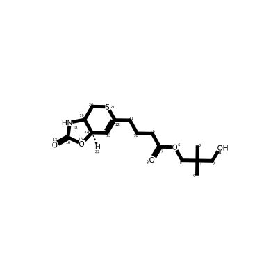 CC(C)(CO)COC(=O)CCCC1=C[C@H]2OC(=O)NC2CS1